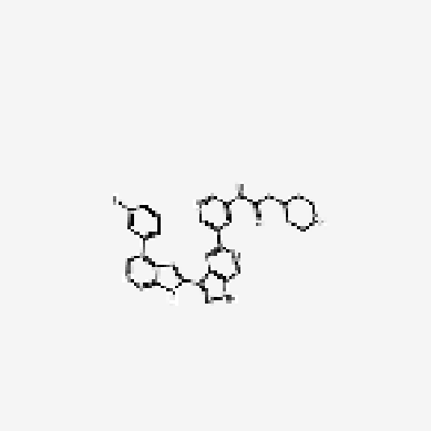 O=C(CC1CCNCC1)Nc1cncc(-c2cc3c(-c4cc5c(-c6cccc(F)c6)cncc5[nH]4)n[nH]c3cn2)c1